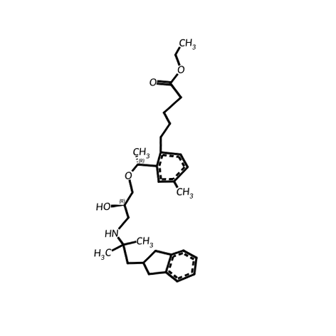 CCOC(=O)CCCCc1ccc(C)cc1[C@@H](C)OC[C@H](O)CNC(C)(C)CC1Cc2ccccc2C1